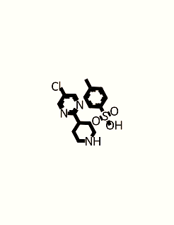 Cc1ccc(S(=O)(=O)O)cc1.Clc1cnc(C2CCNCC2)nc1